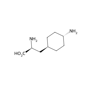 N[C@@H](C[C@H]1CC[C@H](N)CC1)C(=O)O